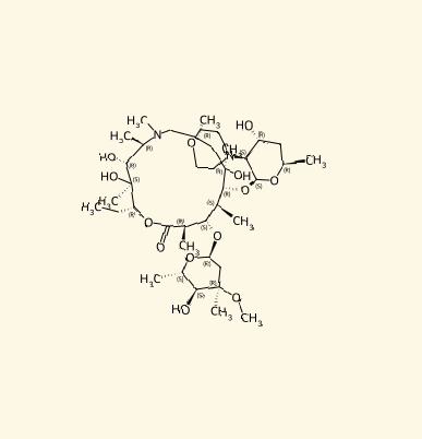 CC[C@H]1OC(=O)[C@H](C)[C@@H](O[C@H]2C[C@@](C)(OC)[C@@H](O)[C@H](C)O2)[C@H](C)[C@@H](O[C@@H]2O[C@H](C)C[C@@H](O)[C@@H]2N2CCOCC2)[C@](C)(O)C[C@@H](C)CN(C)[C@H](C)[C@@H](O)[C@]1(C)O